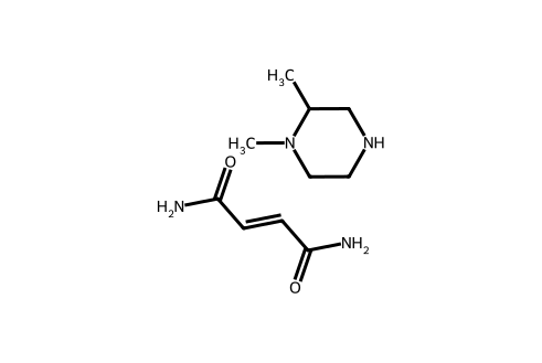 CC1CNCCN1C.NC(=O)C=CC(N)=O